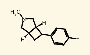 CN1C[C@H]2CC(c3ccc(F)cc3)[C@H]2C1